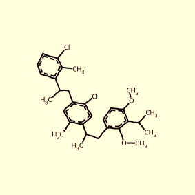 COc1ccc(CC(C)c2cc(Cl)c(CC(C)c3cccc(Cl)c3C)cc2C)c(OC)c1C(C)C